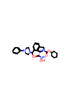 O=C(NO)[C@@H]1c2c(cccc2C(=O)N2CCN(c3ccccc3)CC2)CN1C(=O)OC1CCCCC1